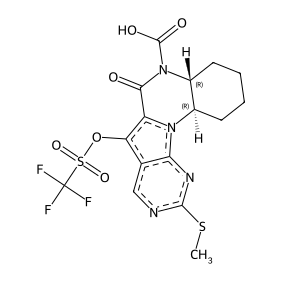 CSc1ncc2c(OS(=O)(=O)C(F)(F)F)c3n(c2n1)[C@@H]1CCCC[C@H]1N(C(=O)O)C3=O